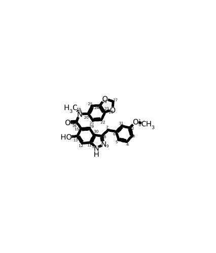 COc1cccc(Cc2n[nH]c3cc(O)c(C(=O)N(C)c4ccc5c(c4)OCO5)cc23)c1